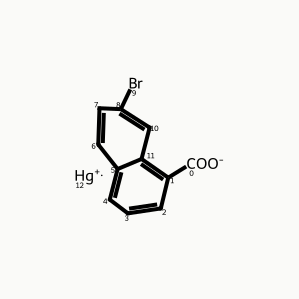 O=C([O-])c1cccc2ccc(Br)cc12.[Hg+]